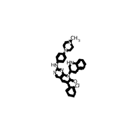 CN1CCN(c2ccc(Nc3ncc4cc(-c5ccccc5Cl)c(=O)n(C5CNc6ccccc6C5)c4n3)cc2)CC1